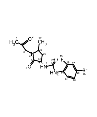 CC(=O)CN1C(=O)[C@@H](NC(=O)Nc2ccc(Br)cc2F)CC1C